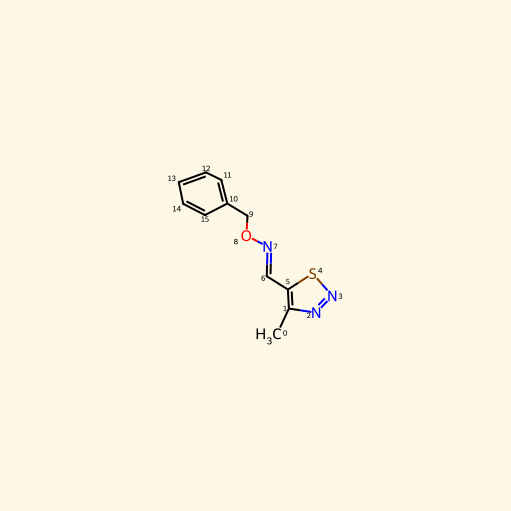 Cc1nnsc1C=NOCc1ccccc1